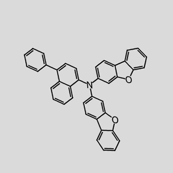 c1ccc(-c2ccc(N(c3ccc4c(c3)oc3ccccc34)c3ccc4c(c3)oc3ccccc34)c3ccccc23)cc1